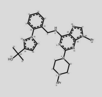 CCCN1CCN(c2nc(NCc3ccccc3-n3ccc(C(C)(C)O)n3)c3ncn(C(C)C)c3n2)CC1